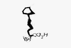 CC(C)[C@@H](CC=CCC1CCCCC1)C(=O)O